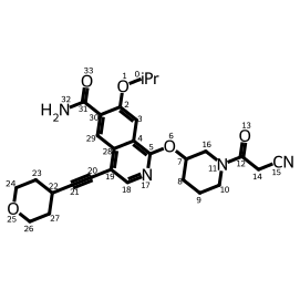 CC(C)Oc1cc2c(OC3CCCN(C(=O)CC#N)C3)ncc(C#CC3CCOCC3)c2cc1C(N)=O